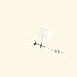 N.N.N.N.N.N.O=C(O)C(F)(F)F